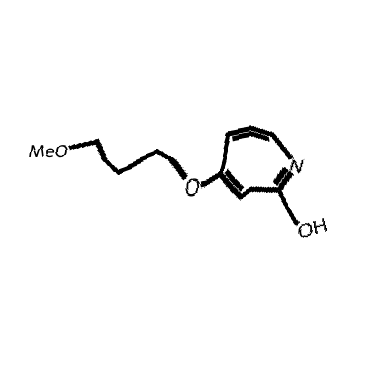 COCCCOc1ccnc(O)c1